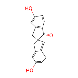 O=C1c2ccc(O)cc2CC12C=C1CC=C(O)C=C1C2